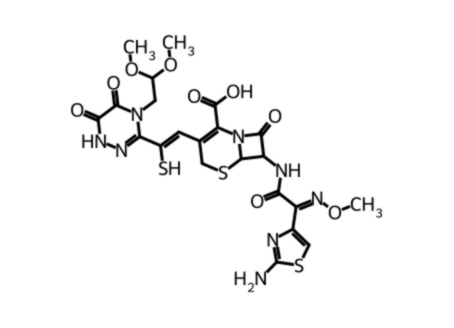 CON=C(C(=O)NC1C(=O)N2C(C(=O)O)=C(C=C(S)c3n[nH]c(=O)c(=O)n3CC(OC)OC)CSC12)c1csc(N)n1